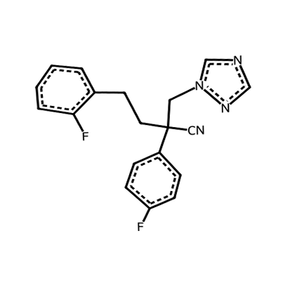 N#CC(CCc1ccccc1F)(Cn1cncn1)c1ccc(F)cc1